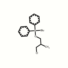 CC(CCl)CO[Si](c1ccccc1)(c1ccccc1)C(C)(C)C